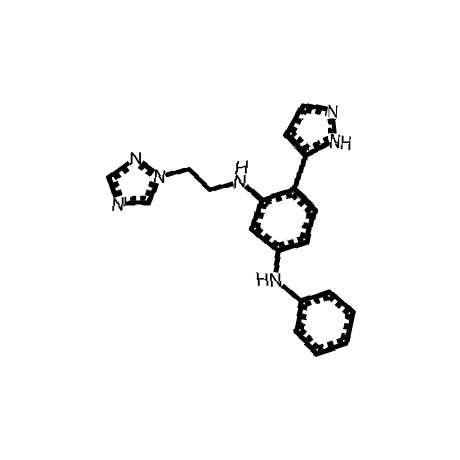 c1ccc(Nc2ccc(-c3ccn[nH]3)c(NCCn3cncn3)c2)cc1